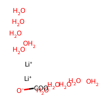 O.O.O.O.O.O.O.O.O.O.O=C([O-])[O-].[Li+].[Li+]